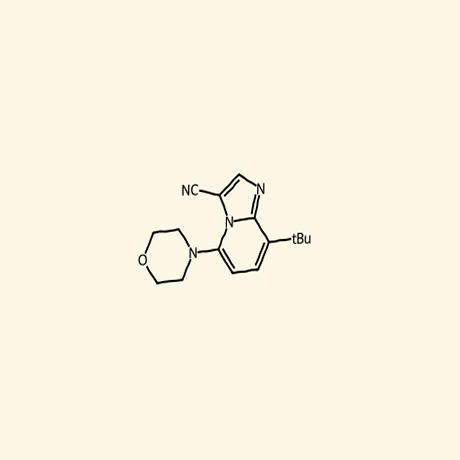 CC(C)(C)c1ccc(N2CCOCC2)n2c(C#N)cnc12